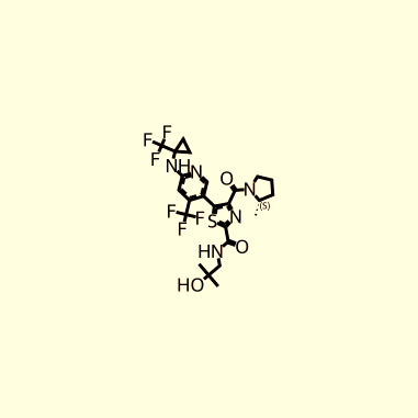 C[C@H]1CCCN1C(=O)c1nc(C(=O)NCC(C)(C)O)sc1-c1cnc(NC2(C(F)(F)F)CC2)cc1C(F)(F)F